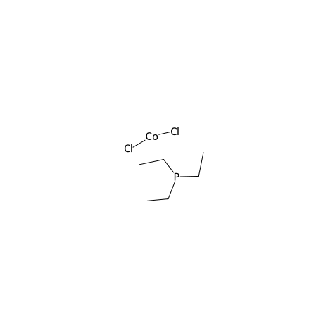 CCP(CC)CC.[Cl][Co][Cl]